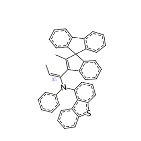 C/C=C(\C1=C(C)C2(c3ccccc31)c1ccccc1-c1ccccc12)N(c1ccccc1)c1cccc2sc3ccccc3c12